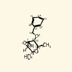 C[C@H]1O[C@H](O)[C@H]2O[C@@H]2[C@H]1OCc1ccccc1